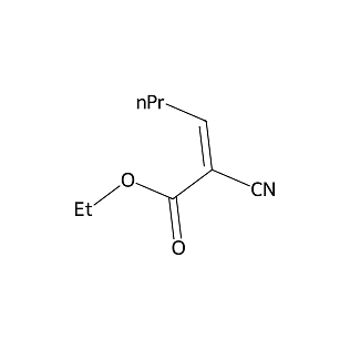 CCCC=C(C#N)C(=O)OCC